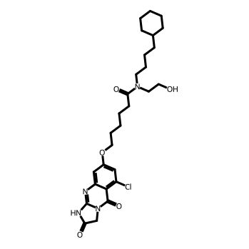 O=C1Cn2c(nc3cc(OCCCCCC(=O)N(CCO)CCCCC4CCCCC4)cc(Cl)c3c2=O)N1